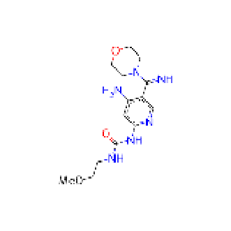 COCCNC(=O)Nc1cc(N)c(C(=N)N2CCOCC2)cn1